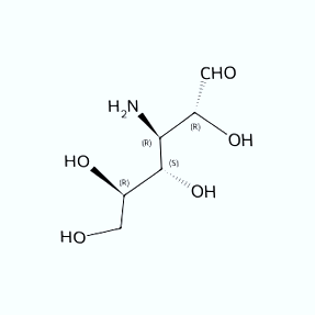 N[C@H]([C@H](O)[C@H](O)CO)[C@@H](O)C=O